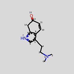 CN(C)CCc1c[nH]c2c1C=CC(=O)C2